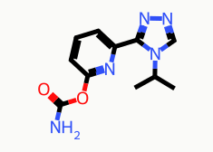 CC(C)n1cnnc1-c1cccc(OC(N)=O)n1